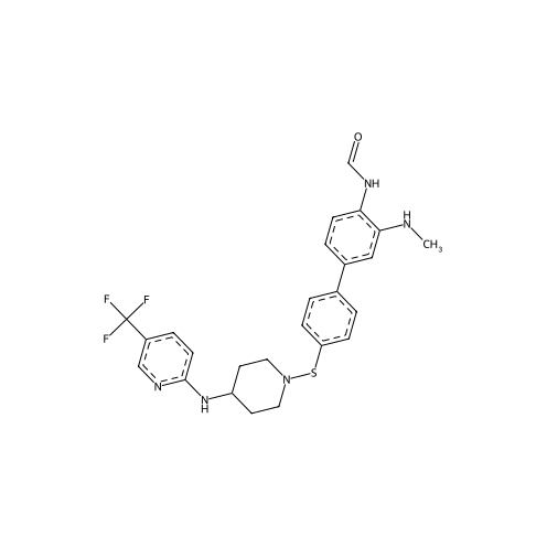 CNc1cc(-c2ccc(SN3CCC(Nc4ccc(C(F)(F)F)cn4)CC3)cc2)ccc1NC=O